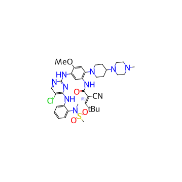 COc1cc(N2CCC(N3CCN(C)CC3)CC2)c(NC(=O)/C(C#N)=C/C(C)(C)C)cc1Nc1ncc(Cl)c(Nc2ccccc2N(C)S(C)(=O)=O)n1